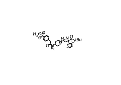 CCN(C(=O)Cc1ccc(S(C)(=O)=O)cc1)C1CCN(CCC(N)(C(=O)OC(C)(C)C)c2cccs2)CC1